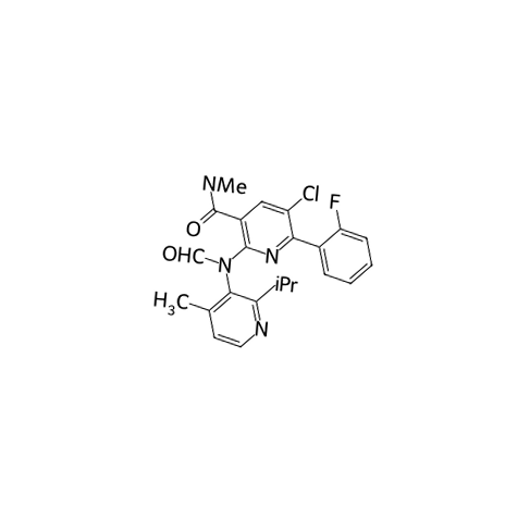 CNC(=O)c1cc(Cl)c(-c2ccccc2F)nc1N(C=O)c1c(C)ccnc1C(C)C